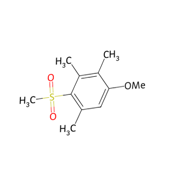 COc1cc(C)c(S(C)(=O)=O)c(C)c1C